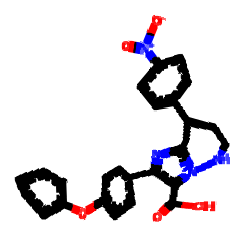 O=C(O)c1c(-c2ccc(Oc3ccccc3)cc2)nc2n1NCCC2c1ccc([N+](=O)[O-])cc1